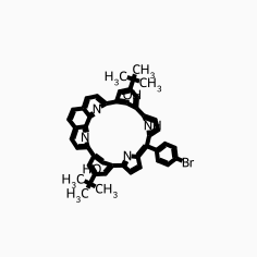 CC(C)(C)c1cc2c3nc(c(-c4ccc(Br)cc4)c4ccc([nH]4)c4cc(C(C)(C)C)cc(c4O)c4ccc5ccc6ccc(nc6c5n4)c(c1)c2O)C=C3